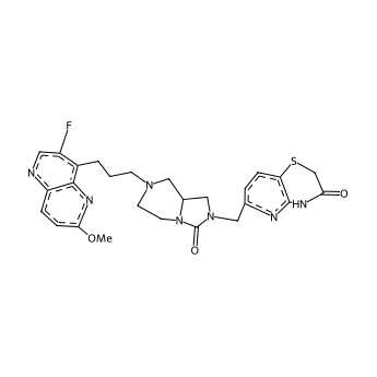 COc1ccc2ncc(F)c(CCCN3CCN4C(=O)N(Cc5ccc6c(n5)NC(=O)CS6)CC4C3)c2n1